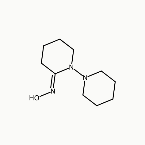 ON=C1CCCCN1N1CCCCC1